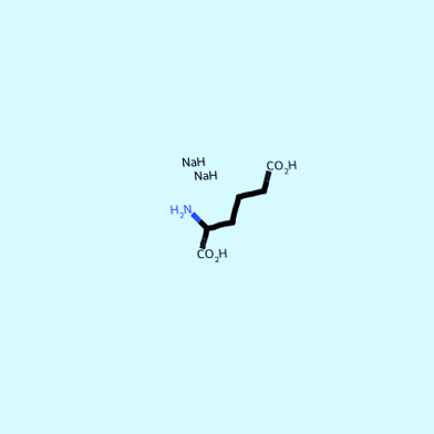 NC(CCCC(=O)O)C(=O)O.[NaH].[NaH]